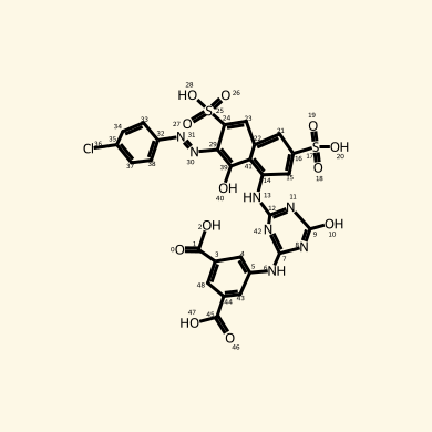 O=C(O)c1cc(Nc2nc(O)nc(Nc3cc(S(=O)(=O)O)cc4cc(S(=O)(=O)O)c(/N=N/c5ccc(Cl)cc5)c(O)c34)n2)cc(C(=O)O)c1